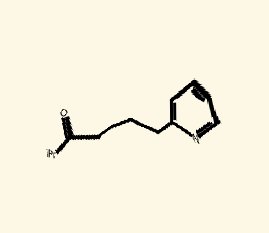 CC(C)C(=O)CCCc1ccccn1